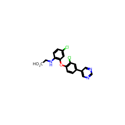 O=C(O)CNc1ccc(Cl)cc1Oc1ccc(-c2cncnc2)cc1Cl